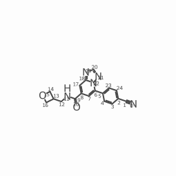 N#Cc1ccc(-c2cc(C(=O)NCC3COC3)cc3ncnn23)cc1